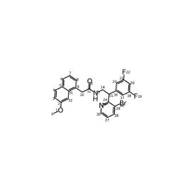 COc1ccc2cccc(CC(=O)NCC(c3cc(F)cc(F)c3)c3ncccc3Br)c2c1